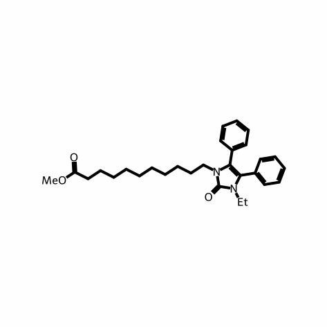 CCn1c(-c2ccccc2)c(-c2ccccc2)n(CCCCCCCCCCC(=O)OC)c1=O